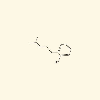 CC(C)=CCOc1ccccc1C(C)C